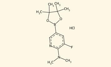 CN(C)c1ncc(B2OC(C)(C)C(C)(C)O2)cc1F.Cl